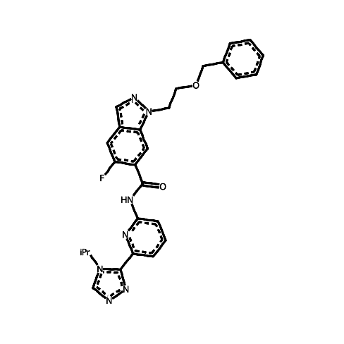 CC(C)n1cnnc1-c1cccc(NC(=O)c2cc3c(cnn3CCOCc3ccccc3)cc2F)n1